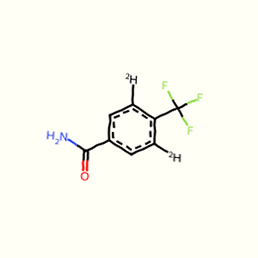 [2H]c1cc(C(N)=O)cc([2H])c1C(F)(F)F